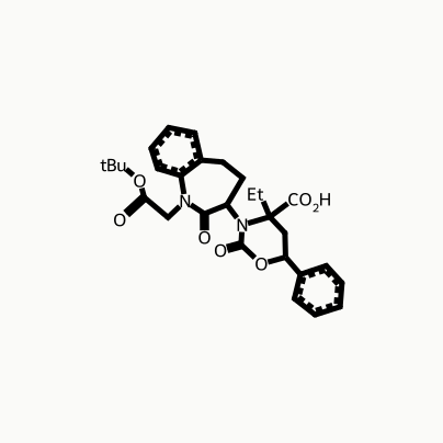 CCC1(C(=O)O)CC(c2ccccc2)OC(=O)N1C1CCc2ccccc2N(CC(=O)OC(C)(C)C)C1=O